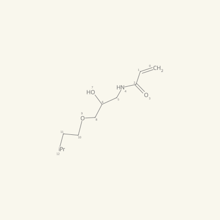 C=CC(=O)NCC(O)COCCC(C)C